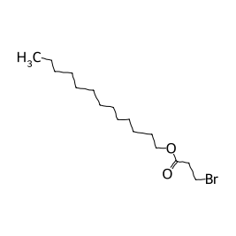 CCCCCCCCCCCCCOC(=O)CCBr